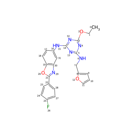 CCOc1nc(NCc2ccco2)nc(Nc2ccc3oc(-c4ccc(F)cc4)nc3c2)n1